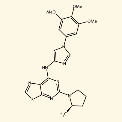 COc1cc(-n2cnc(Nc3nc(N4CCC[C@H]4C)nc4scnc34)c2)cc(OC)c1OC